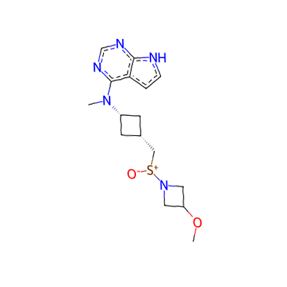 COC1CN([S+]([O-])C[C@H]2C[C@@H](N(C)c3ncnc4[nH]ccc34)C2)C1